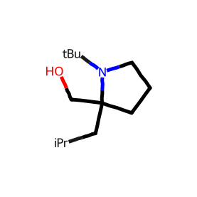 CC(C)CC1(CO)CCCN1C(C)(C)C